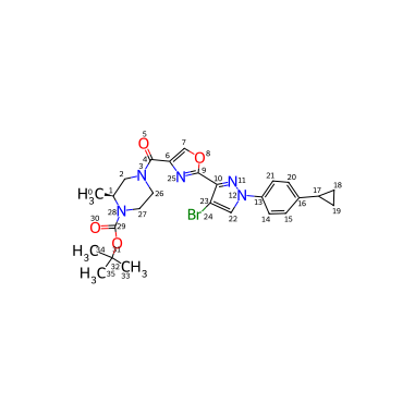 C[C@H]1CN(C(=O)c2coc(-c3nn(-c4ccc(C5CC5)cc4)cc3Br)n2)CCN1C(=O)OC(C)(C)C